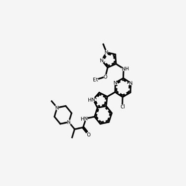 CCOc1nn(C)cc1Nc1ncc(Cl)c(-c2c[nH]c3c(NC(=O)C(C)N4CCN(C)CC4)cccc23)n1